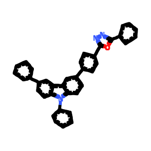 c1ccc(-c2ccc3c(c2)c2cc(-c4ccc(-c5nnc(-c6ccccc6)o5)cc4)ccc2n3-c2ccccc2)cc1